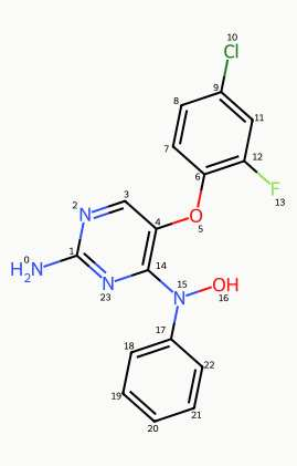 Nc1ncc(Oc2ccc(Cl)cc2F)c(N(O)c2ccccc2)n1